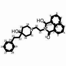 O=C1c2cccc3cccc(c23)C(O)N1CCN1CCC(O)(CCc2ccccc2)CC1